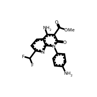 COC(=O)c1c(N)c2ccc(C(F)F)nc2n(-c2ccc(N)cc2)c1=O